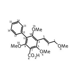 COCC=Cc1c(OC)c(C(=O)O)c(OC)c(-c2ccccc2)c1OC